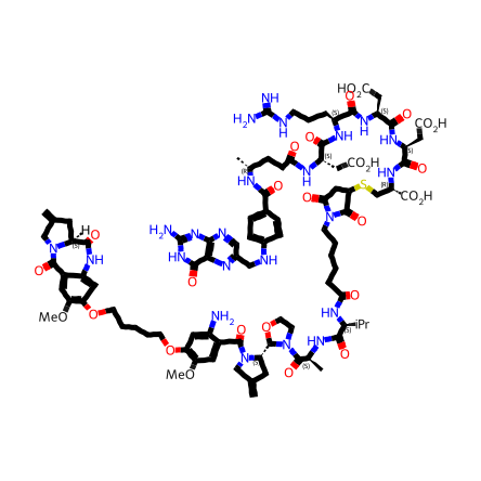 C=C1C[C@H]2C(=O)Nc3cc(OCCCCCOc4cc(N)c(C(=O)N5CC(=C)C[C@H]5C5OCCN5C(=O)[C@H](C)NC(=O)[C@@H](NC(=O)CCCCCN5C(=O)CC(SC[C@H](NC(=O)[C@H](CC(=O)O)NC(=O)[C@H](CC(=O)O)NC(=O)[C@H](CCCNC(=N)N)NC(=O)[C@H](CC(=O)O)NC(=O)CC[C@@H](C)NC(=O)c6ccc(NCc7cnc8nc(N)[nH]c(=O)c8n7)cc6)C(=O)O)C5=O)C(C)C)cc4OC)c(OC)cc3C(=O)N2C1